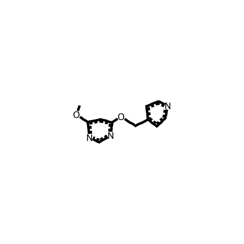 COc1cc(OCc2ccncc2)ncn1